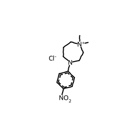 C[N+]1(C)CCCN(c2ccc([N+](=O)[O-])cc2)CC1.[Cl-]